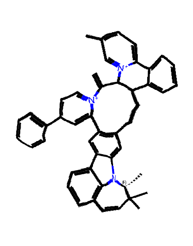 C=C1C2C(CCc3cc4c(cc3-c3cc(-c5ccccc5)cc[n+]31)c1cccc3c1n4[C@H](C)C(C)(C)C=C3)c1ccccc1-c1ccc(C)c[n+]12